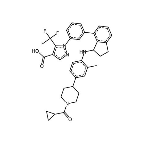 Cc1cc(C2CCN(C(=O)C3CC3)CC2)ccc1NC1CCc2cccc(-c3cccc(-n4ncc(C(=O)O)c4C(F)(F)F)c3)c21